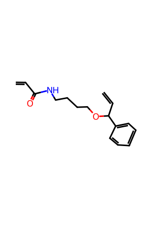 C=CC(=O)NCCCCOC(C=C)c1ccccc1